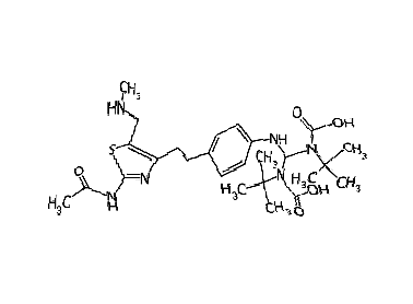 CNCc1sc(NC(C)=O)nc1CCc1ccc(NC(N(C(=O)O)C(C)(C)C)N(C(=O)O)C(C)(C)C)cc1